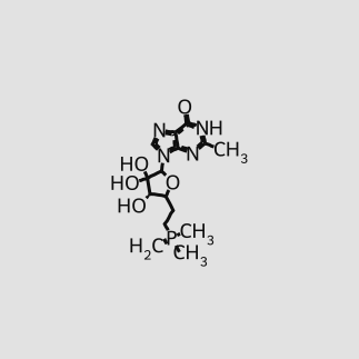 C=P(C)(C)CCC1OC(n2cnc3c(=O)[nH]c(C)nc32)C(O)(O)[C@@H]1O